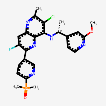 COc1cc([C@@H](C)Nc2c(Cl)c(C)nc3cc(F)c(-c4ccc(P(C)(C)=O)nc4)nc23)ccn1